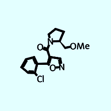 COC[C@@H]1CCCN1C(=O)c1cnoc1-c1ccccc1Cl